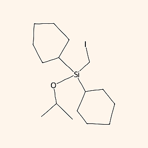 CC(C)O[Si](CI)(C1CCCCC1)C1CCCCC1